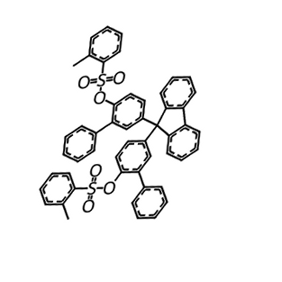 Cc1ccccc1S(=O)(=O)Oc1ccc(C2(c3ccc(OS(=O)(=O)c4ccccc4C)c(-c4ccccc4)c3)c3ccccc3-c3ccccc32)cc1-c1ccccc1